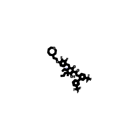 C/C=C1/C(Cc2ccc(OCCC3CCCCOCC3)c(F)c2F)C(=O)C(C(=O)Cc2ccc(C(F)(F)F)cc2-c2cccc(C(F)(F)F)c2)=C(O)C1(C)CCC